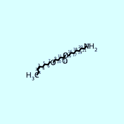 CC/C=C\CCCCOCCCC(=O)OCCCCCCCN